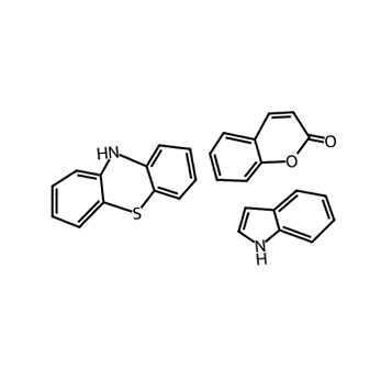 O=c1ccc2ccccc2o1.c1ccc2[nH]ccc2c1.c1ccc2c(c1)Nc1ccccc1S2